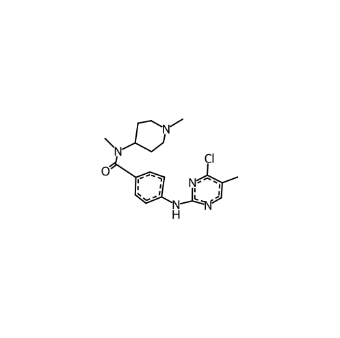 Cc1cnc(Nc2ccc(C(=O)N(C)C3CCN(C)CC3)cc2)nc1Cl